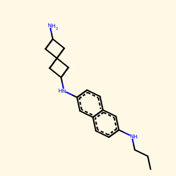 CCCNc1ccc2cc(NC3CC4(CC(N)C4)C3)ccc2c1